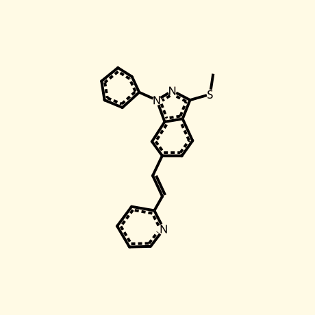 CSc1nn(-c2ccccc2)c2cc(/C=C/c3ccccn3)ccc12